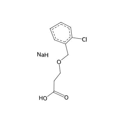 O=C(O)CCOCc1ccccc1Cl.[NaH]